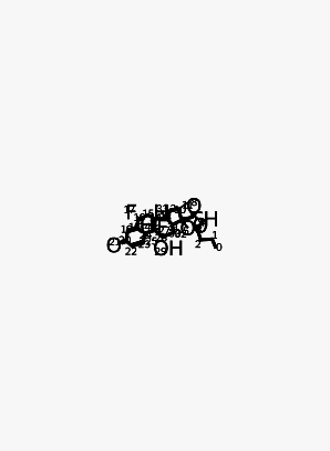 CCCC(=O)O[C@]1(C(=O)S)[C@H](C)C[C@H]2[C@@H]3C[C@H](F)C4=CC(=O)C=C[C@]4(C)[C@@]3(F)[C@@H](O)C[C@@]21C